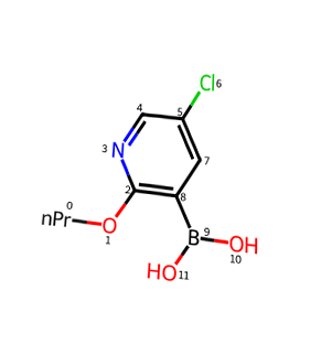 CCCOc1ncc(Cl)cc1B(O)O